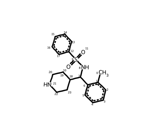 Cc1ccccc1C(NS(=O)(=O)c1ccccc1)C1CCNCC1